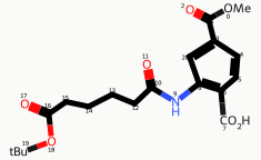 COC(=O)c1ccc(C(=O)O)c(NC(=O)CCCCC(=O)OC(C)(C)C)c1